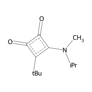 CC(C)N(C)c1c(C(C)(C)C)c(=O)c1=O